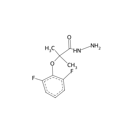 CC(C)(Oc1c(F)cccc1F)C(=O)NN